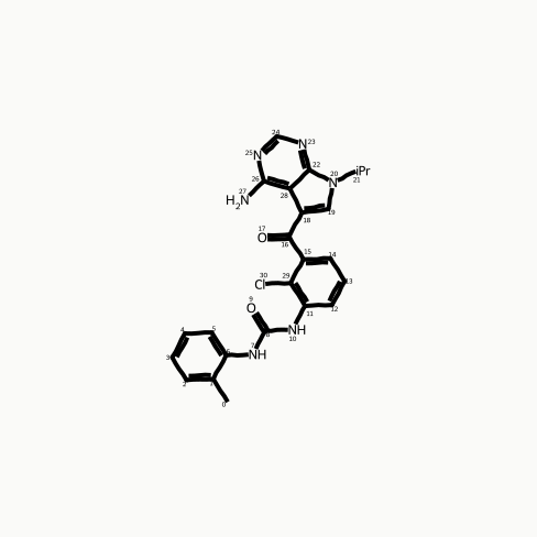 Cc1ccccc1NC(=O)Nc1cccc(C(=O)c2cn(C(C)C)c3ncnc(N)c23)c1Cl